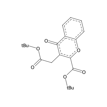 CC(C)(C)OC(=O)Cc1c(C(=O)OC(C)(C)C)oc2ccccc2c1=O